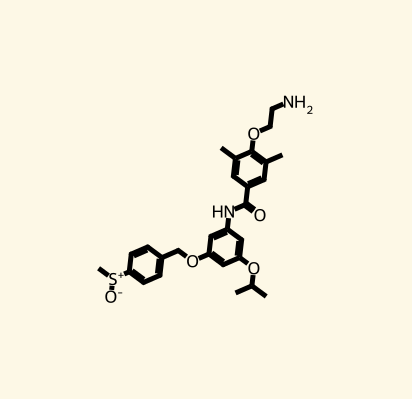 Cc1cc(C(=O)Nc2cc(OCc3ccc([S+](C)[O-])cc3)cc(OC(C)C)c2)cc(C)c1OCCN